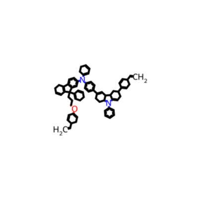 C=CC1C=CC(OCCCC2(C3=CCCC=C3)C3=C(CCC=C3)c3ccc(N(C4=CC=CCC4)c4ccc(C5=CC6C7CC(C8=CCC(C=C)C=C8)CC=C7N(c7ccccc7)C6CC5)cc4)cc32)=CC1